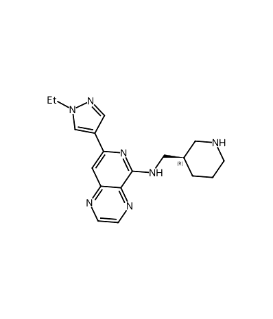 CCn1cc(-c2cc3nccnc3c(NC[C@@H]3CCCNC3)n2)cn1